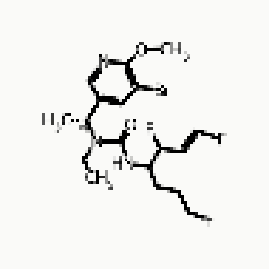 CCN(C(=O)NC(CCCF)C(F)C=CF)[C@H](C)c1cnc(OC)c(Br)c1